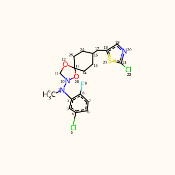 CN(c1cc(Cl)ccc1F)N1COC2(CCC(Cc3cnc(Cl)s3)CC2)O1